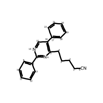 N#CCCCCc1nc(-c2ccccc2)ncc1-c1ccccc1